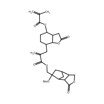 C=C(C)C(=O)OC1CCC(CC(=C)C(=O)OCC2(OC)CC3CC2C2C(=O)OCC32)C2OC(=O)CC12